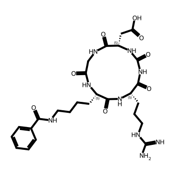 N=C(N)NCCC[C@@H]1NC(=O)[C@H](CCCCNC(=O)c2ccccc2)NC(=O)CNC(=O)[C@H](CC(=O)O)NC(=O)NC1=O